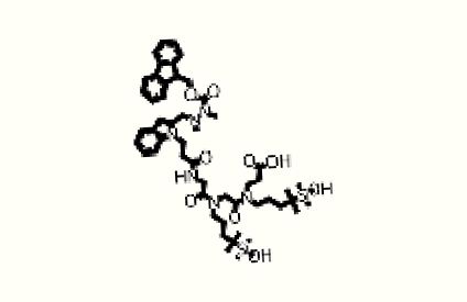 CN(Cc1cc2ccccc2n1CCC(=O)NCC(=O)N(CCCC(C)(C)[Si](C)(C)O)CC(=O)N(CCCC(C)(C)[Si](C)(C)O)CCC(=O)O)N(C)C(=O)OCC1c2ccccc2-c2ccccc21